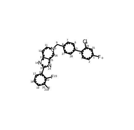 Fc1ccc(-c2ccc(Cn3ccc4nc(-c5cccc(F)c5F)nc-4c3)cc2)c(Cl)c1